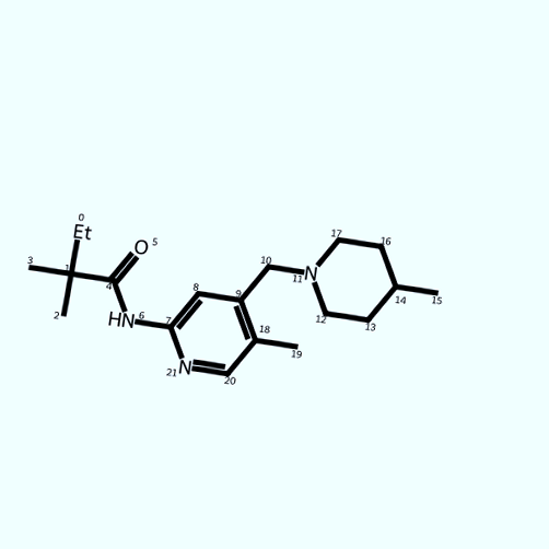 CCC(C)(C)C(=O)Nc1cc(CN2CCC(C)CC2)c(C)cn1